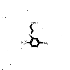 CNCCOc1cc([N+](=O)[O-])ccc1C